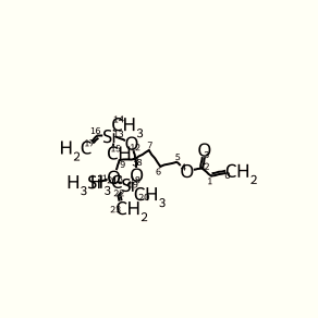 C=CC(=O)OCCCC(CO[SiH3])(O[Si](C)(C)C=C)O[Si](C)(C)C=C